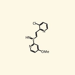 COc1ccnc(S(=N)/C=C/c2ncccc2Cl)c1